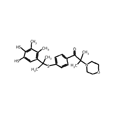 Cc1c(C(C)(C)Sc2ccc(C(=O)C(C)(C)N3CCOCC3)cc2)cc(S)c(S)c1C